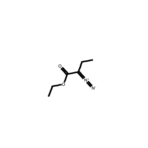 CCOC(=O)C(CC)=[N+]=[N-]